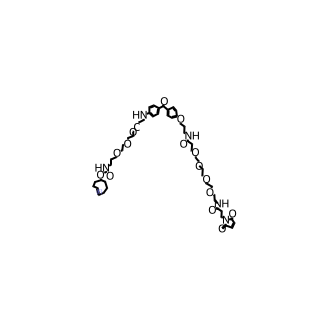 O=C(CCOCCOCCOCCOCCNC(=O)CCN1C(=O)C=CC1=O)NCCCOc1ccc(C(=O)c2ccc(NCCCOCCOCCOCCCNC(=O)OC3CC/C=C/CCC3)cc2)cc1